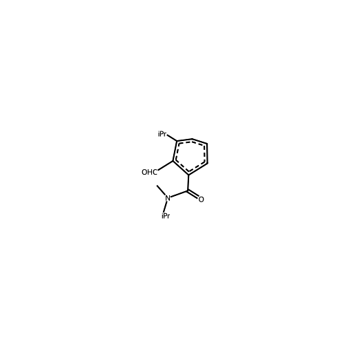 CC(C)c1cccc(C(=O)N(C)C(C)C)c1C=O